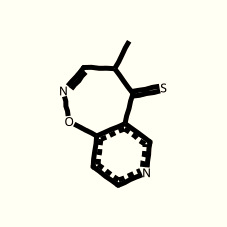 CC1C=NOc2ccncc2C1=S